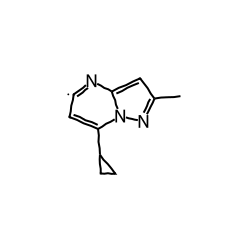 Cc1cc2n[c]cc(C3CC3)n2n1